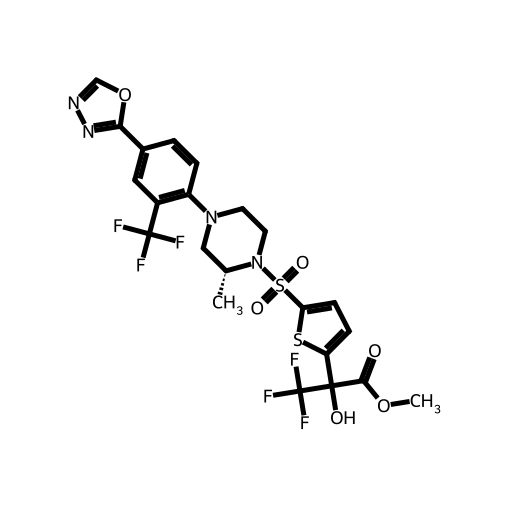 COC(=O)C(O)(c1ccc(S(=O)(=O)N2CCN(c3ccc(-c4nnco4)cc3C(F)(F)F)C[C@H]2C)s1)C(F)(F)F